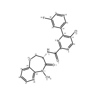 CN1C(=O)[C@@H](NC(=O)c2ncc(Cl)c(-c3cncc(F)c3)n2)COc2cccnc21